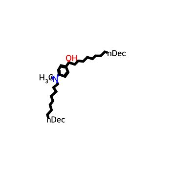 CCCCCCCCCCCCCCCCCCC(O)c1ccc(N(C)CCCCCCCCCCCCCCCCCC)cc1